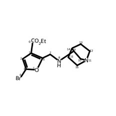 CCOC(=O)c1cc(Br)oc1CNC1CN2CCC1CC2